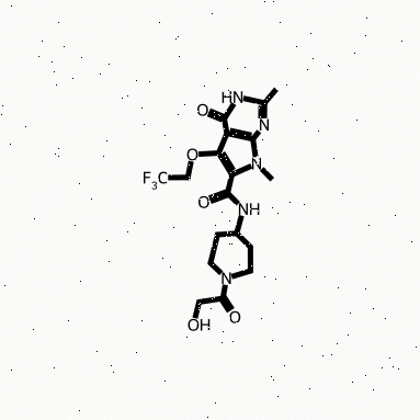 Cc1nc2c(c(OCC(F)(F)F)c(C(=O)NC3CCN(C(=O)CO)CC3)n2C)c(=O)[nH]1